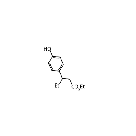 CCOC(=O)CC(CC)c1ccc(O)cc1